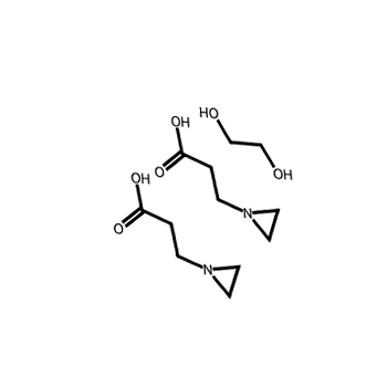 O=C(O)CCN1CC1.O=C(O)CCN1CC1.OCCO